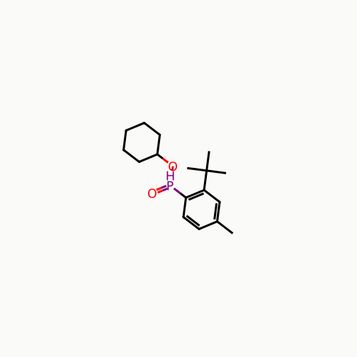 Cc1ccc([PH](=O)OC2CCCCC2)c(C(C)(C)C)c1